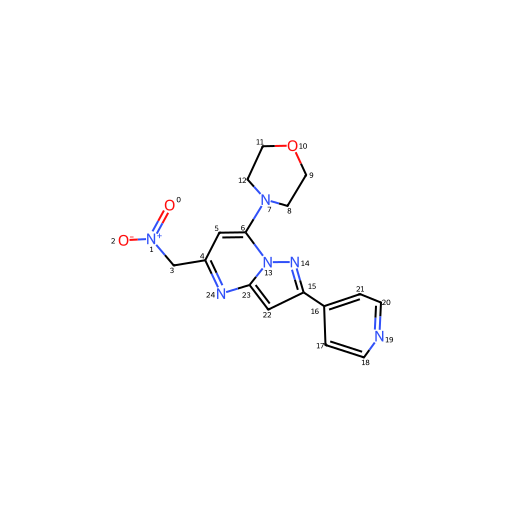 O=[N+]([O-])Cc1cc(N2CCOCC2)n2nc(-c3ccncc3)cc2n1